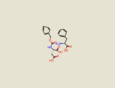 N[C@@H](Cc1ccccc1)C(=O)O.O=C(O)C[C@H](NC(=O)OCc1ccccc1)C(=O)O